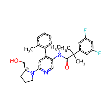 Cc1ccccc1-c1cc(N2CCC[C@H]2CO)ncc1N(C)C(=O)C(C)(C)c1cc(F)cc(F)c1